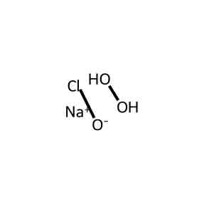 OO.[Na+].[O-]Cl